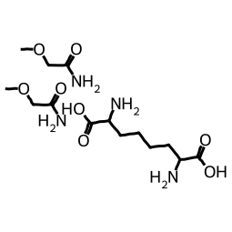 COCC(N)=O.COCC(N)=O.NC(CCCCC(N)C(=O)O)C(=O)O